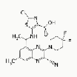 Cc1cc(C(C)Nc2sc(Cl)nc2C(=O)O)c2nc(N3CCC(F)(F)CC3)c(C#N)nc2c1